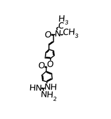 CCN(CC)C(=O)C=Cc1ccc(OC(=O)c2ccc(NC(=N)N)cc2)cc1